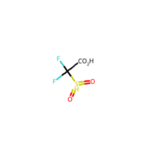 O=C(O)C(F)(F)[SH](=O)=O